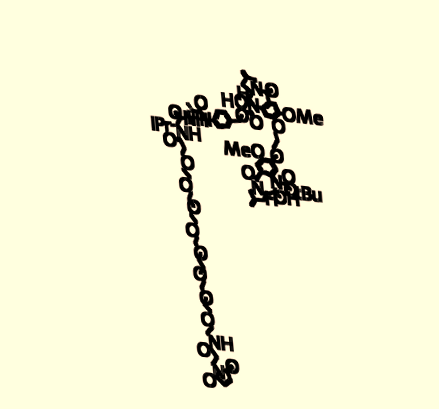 C=C1C[C@H]2[C@H](O)N(C(=O)OCc3ccc(NC(=O)[C@H](C)NC(=O)[C@@H](NC(=O)CCOCCOCCOCCOCCOCCOCCOCCOCCNC(=O)CCN4C(=O)C=CC4=O)C(C)C)cc3)c3cc(OCCCOc4cc5c(cc4OC)C(=O)N4CC(=C)C[C@H]4[C@H](O)N5C(=O)OC(C)(C)C)c(OC)cc3C(=O)N2C1